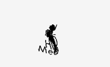 COOCCNC(=O)c1ccc(-c2ccc3nnn(Cc4ccc5ncccc5c4)c3n2)cc1F